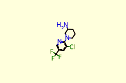 N[C@H]1CCCN(c2ncc(C(F)(F)F)cc2Cl)C1